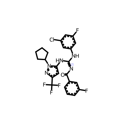 O=C(/N=C(/Nc1cc(F)cc(Cl)c1)Nc1cc(C(F)(F)F)nn1C1CCCC1)c1cccc(F)c1